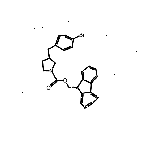 O=C(OCC1c2ccccc2-c2ccccc21)N1CCC(Cc2ccc(Br)cc2)C1